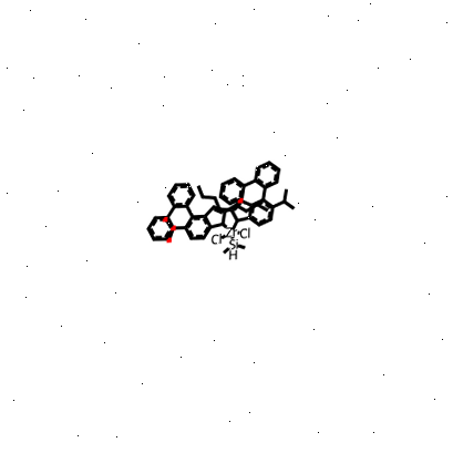 CCCCC1=Cc2c(ccc(C(C)C)c2-c2ccccc2-c2ccccc2)[CH]1[Zr]([Cl])([Cl])([CH]1C(CCCC)=Cc2c1ccc(C(C)C)c2-c1ccccc1-c1ccccc1)[SiH](C)C